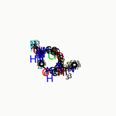 CC1(C)CNC(=O)c2ccc(cc2)Nc2nc(nc(OCC(F)(F)F)n2)NCc2ccc(c(Cl)c2)OCCCN(C(=O)CCc2nc3ccccc3s2)C1